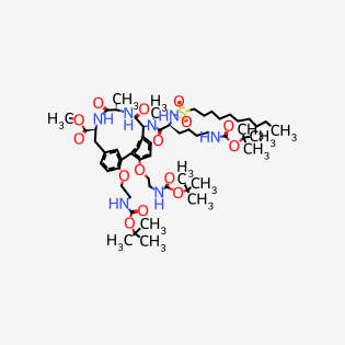 CCCCCCCCCCS(=O)(=O)N[C@@H](CCCCNC(=O)OC(C)(C)C)C(=O)N(C)[C@@H]1C(=O)N[C@@H](C)C(=O)N[C@H](C(=O)OC)Cc2ccc(OCCNC(=O)OC(C)(C)C)c(c2)-c2cc1ccc2OCCNC(=O)OC(C)(C)C